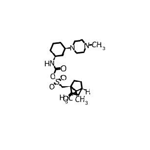 CN1CCN([C@@H]2CCC[C@H](NC(=O)OS(=O)(=O)C[C@]34CC[C@H](CC3=O)C4(C)C)C2)CC1